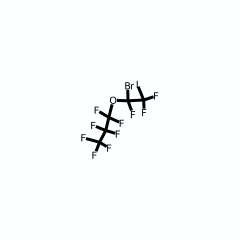 FC(F)(F)C(F)(F)C(F)(F)OC(F)(Br)C(F)(F)I